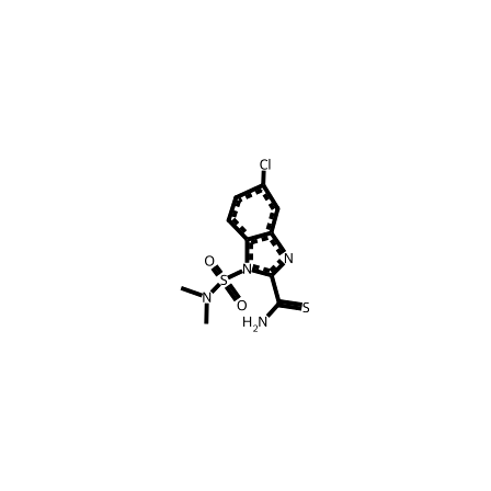 CN(C)S(=O)(=O)n1c(C(N)=S)nc2cc(Cl)ccc21